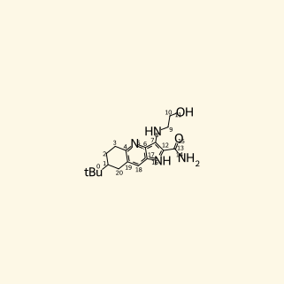 CC(C)(C)C1CCc2nc3c(NCCO)c(C(N)=O)[nH]c3cc2C1